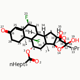 CCCCCCCC(=O)O[C@H]1C[C@@]2(C)[C@@H](C[C@H]3O[C@@H](CCC)O[C@]32C(=O)CO)[C@@H]2C[C@H](F)C3=CC(=O)CC[C@]3(C)[C@@]12F